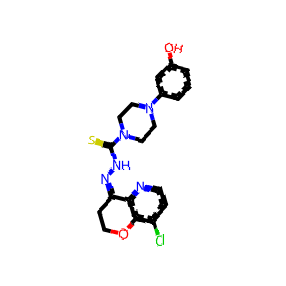 Oc1cccc(N2CCN(C(=S)N/N=C3/CCOc4c(Cl)ccnc43)CC2)c1